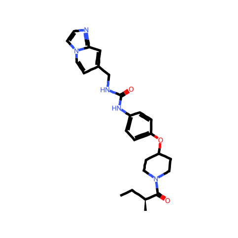 CC[C@H](C)C(=O)N1CCC(Oc2ccc(NC(=O)NCc3ccn4ccnc4c3)cc2)CC1